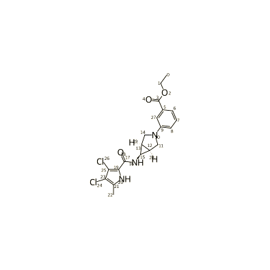 CCOC(=O)c1cccc(N2C[C@@H]3[C@H](C2)[C@@H]3NC(=O)c2[nH]c(C)c(Cl)c2Cl)c1